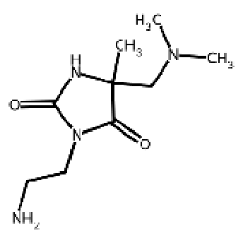 CN(C)CC1(C)NC(=O)N(CCN)C1=O